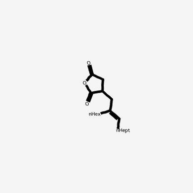 CCCCCCC/C=C(\CCCCCC)CC1CC(=O)OC1=O